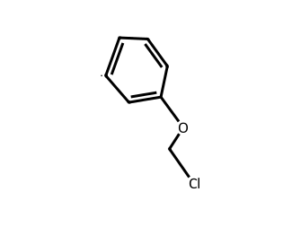 ClCOc1c[c]ccc1